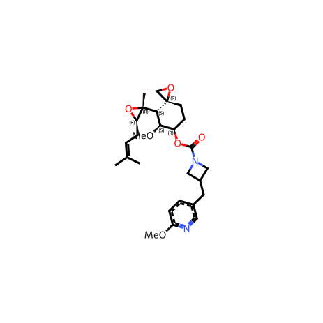 COc1ccc(CC2CN(C(=O)O[C@@H]3CC[C@]4(CO4)[C@@H]([C@@]4(C)O[C@@H]4CC=C(C)C)[C@@H]3OC)C2)cn1